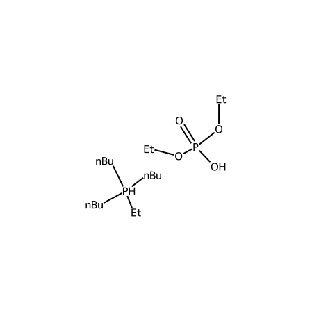 CCCC[PH](CC)(CCCC)CCCC.CCOP(=O)(O)OCC